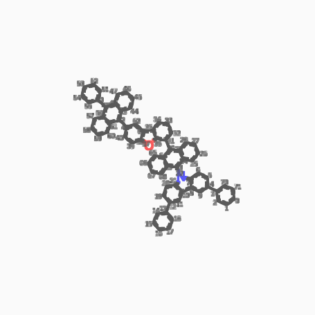 c1ccc(-c2ccc3c(c2)c2cc(-c4ccccc4)ccc2n3-c2c3ccccc3c(-c3cccc4c3oc3ccc(-c5c6ccccc6c(-c6ccccc6)c6ccccc56)cc34)c3ccccc23)cc1